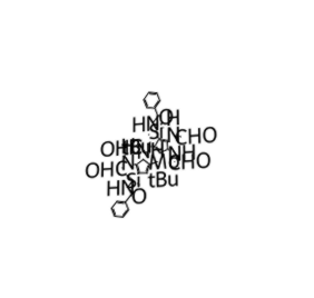 CC(C)(C)C1=[C]([Mo][C]2=C(C(C)(C)C)C([Si](C)(C)NC(=O)c3ccccc3)=C(NC=O)C2NC=O)C(NC=O)C(NC=O)=C1[Si](C)(C)NC(=O)c1ccccc1